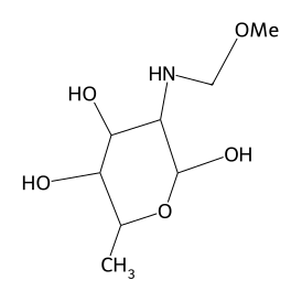 COCNC1C(O)OC(C)C(O)C1O